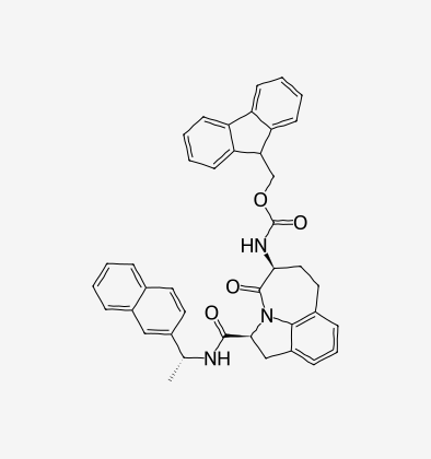 C[C@@H](NC(=O)[C@@H]1CC2=C=C=CC3=C2N1C(=O)[C@@H](NC(=O)OCC1c2ccccc2-c2ccccc21)CC3)c1ccc2ccccc2c1